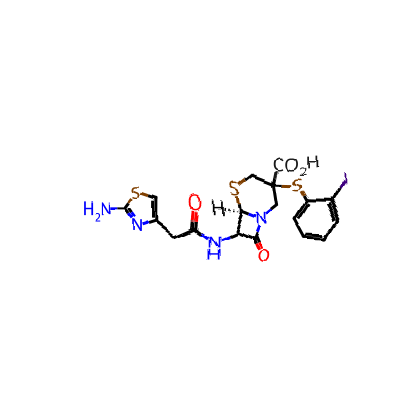 Nc1nc(CC(=O)NC2C(=O)N3CC(Sc4ccccc4I)(C(=O)O)CS[C@H]23)cs1